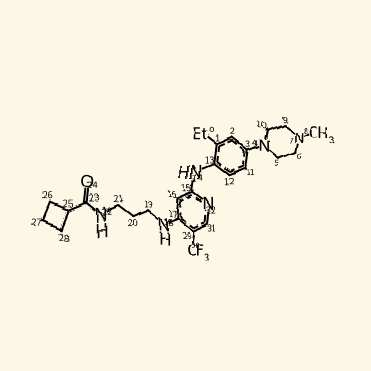 CCc1cc(N2CCN(C)CC2)ccc1Nc1cc(NCCCNC(=O)C2CCC2)c(C(F)(F)F)cn1